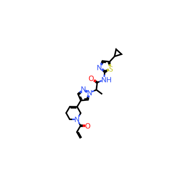 C=CC(=O)N1CCC=C(c2cnn(C(C)C(=O)Nc3ncc(C4CC4)s3)c2)C1